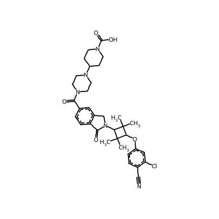 CC1(C)C(Oc2ccc(C#N)c(Cl)c2)C(C)(C)C1N1Cc2cc(C(=O)N3CCN(C4CCN(C(=O)O)CC4)CC3)ccc2C1=O